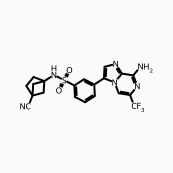 N#CC12CCC(NS(=O)(=O)c3cccc(-c4cnc5c(N)nc(C(F)(F)F)cn45)c3)(C1)C2